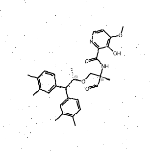 COc1ccnc(C(=O)N[C@](C)(C=O)CO[C@@H](C)C(c2ccc(C)c(C)c2)c2ccc(C)c(C)c2)c1O